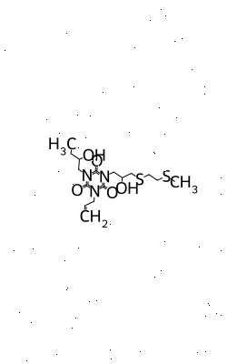 C=CCn1c(=O)n(CC(O)CC)c(=O)n(CC(O)CSCCSC)c1=O